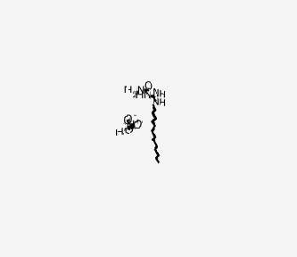 CCCCCCCCCCCCCCNC(=N)NC(N)=O.O=[N+]([O-])O